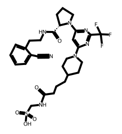 N#Cc1ccccc1CCNC(=O)[C@@H]1CCCN1c1cc(N2CCC(CCCC(=O)NCS(=O)(=O)O)CC2)nc(C(F)(F)F)n1